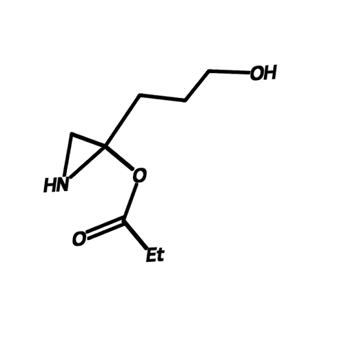 CCC(=O)OC1(CCCO)CN1